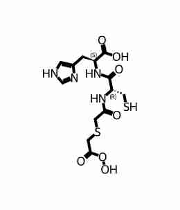 O=C(CSCC(=O)OO)N[C@@H](CS)C(=O)N[C@@H](Cc1c[nH]cn1)C(=O)O